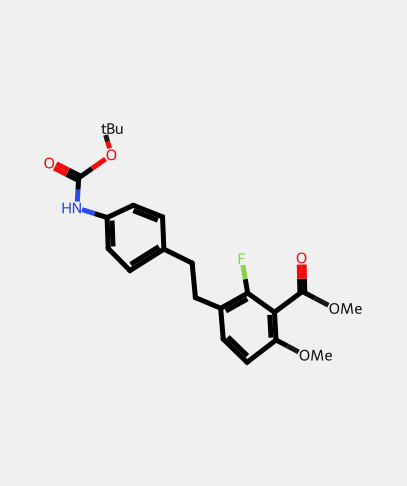 COC(=O)c1c(OC)ccc(CCc2ccc(NC(=O)OC(C)(C)C)cc2)c1F